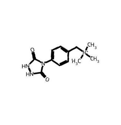 C[N+](C)(C)Cc1ccc(-n2c(=O)[nH][nH]c2=O)cc1